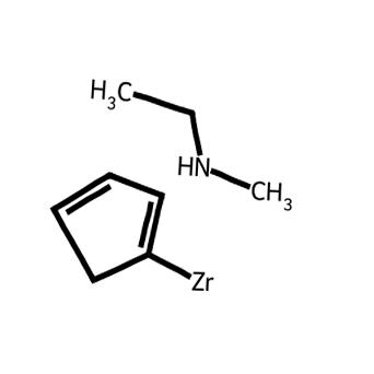 CCNC.[Zr][C]1=CC=CC1